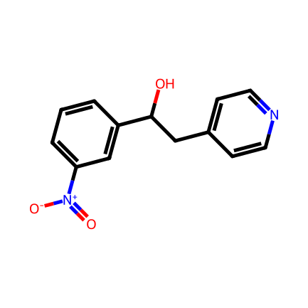 O=[N+]([O-])c1cccc(C(O)Cc2ccncc2)c1